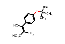 CC(C(=O)O)=C(C#N)c1ccc(O[Si](C)(C)C(C)(C)C)cc1